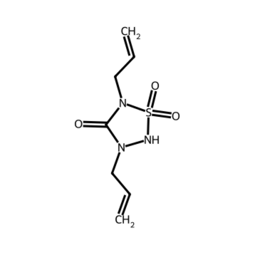 C=CCN1NS(=O)(=O)N(CC=C)C1=O